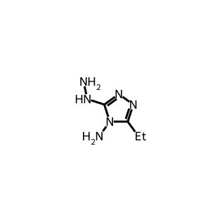 CCc1nnc(NN)n1N